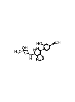 C#Cc1ccc(-c2nnc(NC3CC(C)(O)C3)c3ncccc23)c(O)c1